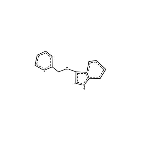 [c]1[nH]c2ccccc2c1OCc1ncccn1